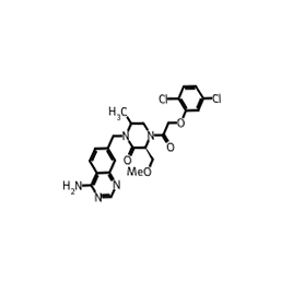 COC[C@H]1C(=O)N(Cc2ccc3c(N)ncnc3c2)C(C)CN1C(=O)COc1cc(Cl)ccc1Cl